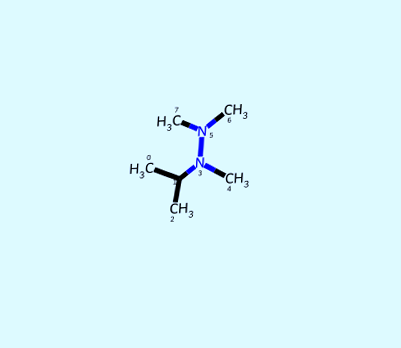 CC(C)N(C)N(C)C